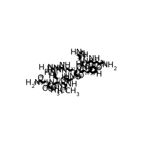 CC(C)[C@H](NC(=O)CNC(=O)[C@H](CCCNC(=N)N)NC(=O)[C@H](Cc1ccc(O)cc1)NC(=O)[C@H](Cc1c[nH]cn1)NC(=O)[C@@H](N)CCCCN)C(=O)N[C@@H](CCCNC(=N)N)C(=O)N[C@@H](CCC(N)=O)C(=O)O